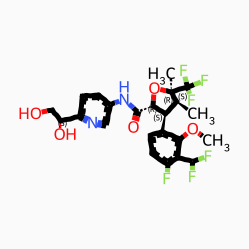 COc1c([C@H]2[C@H](C(=O)Nc3ccc([C@H](O)CO)nc3)O[C@@](C)(C(F)(F)F)[C@H]2C)ccc(F)c1C(F)F